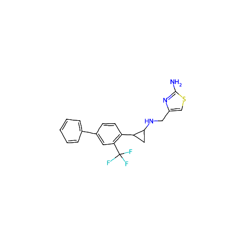 Nc1nc(CNC2CC2c2ccc(-c3ccccc3)cc2C(F)(F)F)cs1